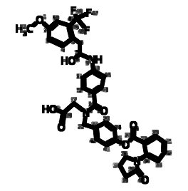 COc1ccc(CC(O)Nc2ccc(C(=O)N(CC(=O)O)Cc3ccc(OC(=O)c4ccccc4N4CCCC4=O)cc3)cc2)c(C(F)(F)F)c1